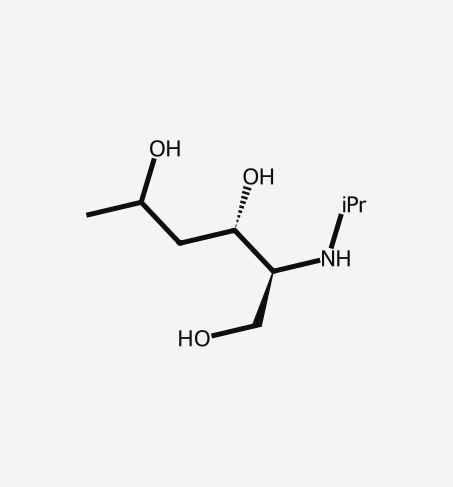 CC(O)C[C@H](O)[C@H](CO)NC(C)C